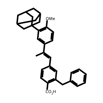 COc1ccc(C(C)=Cc2ccc(C(=O)O)c(Cc3ccccc3)c2)cc1C12CC3CC(CC(C3)C1)C2